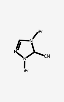 CC(C)N1C=NN(C(C)C)C1C#N